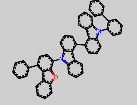 c1ccc(-c2ccccc2-n2c3ccccc3c3c(-c4cccc5c4c4ccccc4n5-c4ccc(-c5ccccc5)c5c4oc4ccccc45)cccc32)cc1